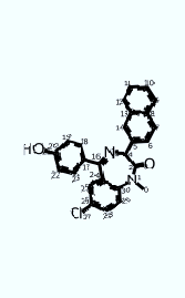 CN1C(=O)C(c2ccc3ccccc3c2)N=C(c2ccc(O)cc2)c2cc(Cl)ccc21